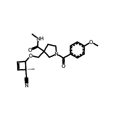 CNC(=O)C1(COC2C=C[C@]2(C)C#N)CCN(C(=O)c2ccc(OC)cc2)C1